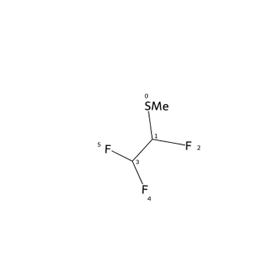 CSC(F)C(F)F